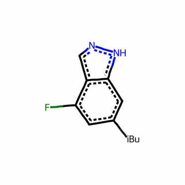 CCC(C)c1cc(F)c2cn[nH]c2c1